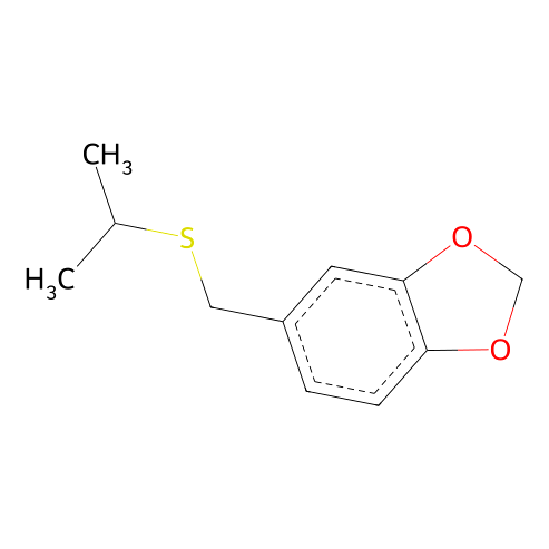 CC(C)SCc1ccc2c(c1)OCO2